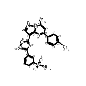 NS(=O)(=O)c1cccc(-c2noc(-c3cnn4c(C(F)(F)F)cc(-c5ccc(C(F)(F)F)cc5)nc34)n2)c1